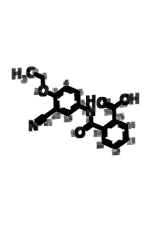 CCOc1ccc(NC(=O)c2ccccc2C(=O)O)cc1C#N